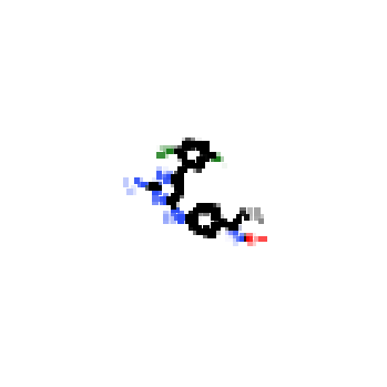 C/C(=N\O)c1ccc(Nc2cc(-c3cc(Cl)ccc3Cl)nc(N)n2)cc1